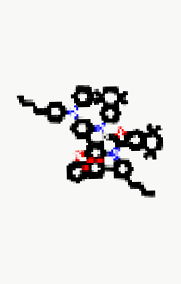 CCCCc1ccc(N(c2ccccc2)c2ccc3c(c2)N(c2ccc4c(c2)C(C)(C)CCC4(C)C)B2c4oc5cc6c(cc5c4N(c4ccc(CCCC)cc4-c4ccccc4)c4cc5c(oc7ccccc75)c-3c42)C(C)(C)CCC6(C)C)cc1